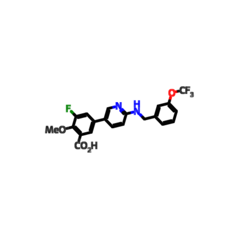 COc1c(F)cc(-c2ccc(NCc3cccc(OC(F)(F)F)c3)nc2)cc1C(=O)O